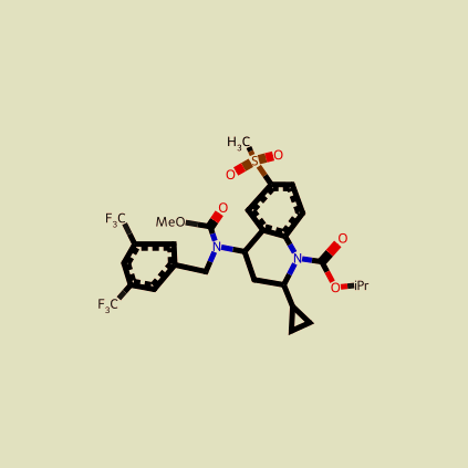 COC(=O)N(Cc1cc(C(F)(F)F)cc(C(F)(F)F)c1)C1CC(C2CC2)N(C(=O)OC(C)C)c2ccc(S(C)(=O)=O)cc21